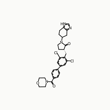 O=C(c1ccc(-c2cc(Cl)c(C[C@@H]3CCN(C4CCc5[nH]cnc5C4)C3=O)c(Cl)c2)cc1)N1CCOCC1